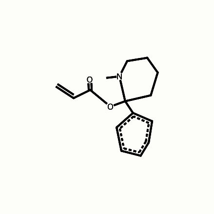 C=CC(=O)OC1(c2ccccc2)CCCCN1C